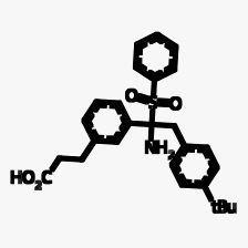 CC(C)(C)c1ccc(CC(N)(c2cccc(CCC(=O)O)c2)S(=O)(=O)c2ccccc2)cc1